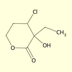 CCC1(O)C(=O)OCCC1Cl